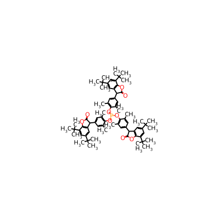 Cc1cc(C2C(=O)Oc3c2cc(C(C)(C)C)cc3C(C)(C)C)cc(C)c1OP(Oc1c(C)cc(C2C(=O)Oc3c2cc(C(C)(C)C)cc3C(C)(C)C)cc1C)Oc1c(C)cc(C2C(=O)Oc3c2cc(C(C)(C)C)cc3C(C)(C)C)cc1C